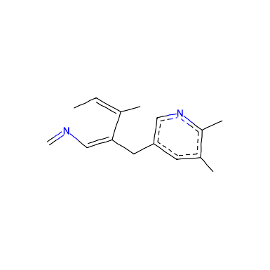 C=N/C=C(Cc1cnc(C)c(C)c1)\C(C)=C/C